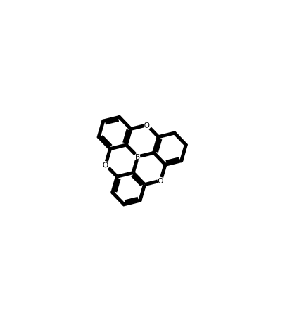 C1=C2Oc3cccc4c3B3C2=C(CC1)Oc1cccc(c13)O4